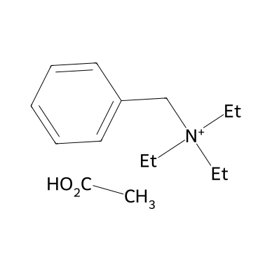 CC(=O)O.CC[N+](CC)(CC)Cc1ccccc1